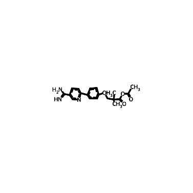 CC(=O)OC(=O)C(C)(C)COc1ccc(-c2ccc(C(=N)N)cn2)cc1